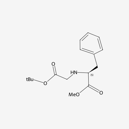 COC(=O)[C@H](Cc1ccccc1)NCC(=O)OC(C)(C)C